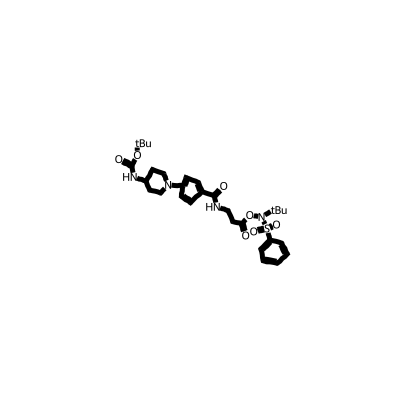 CC(C)(C)OC(=O)NC1CCN(c2ccc(C(=O)NCCC(=O)ON(C(C)(C)C)S(=O)(=O)c3ccccc3)cc2)CC1